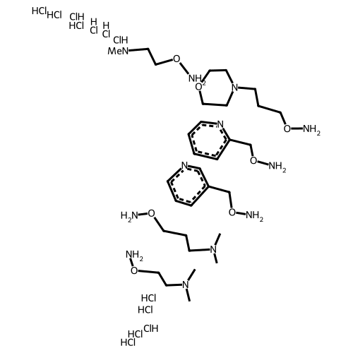 CN(C)CCCON.CN(C)CCON.CNCCON.Cl.Cl.Cl.Cl.Cl.Cl.Cl.Cl.Cl.Cl.Cl.Cl.NOCCCN1CCOCC1.NOCc1ccccn1.NOCc1cccnc1